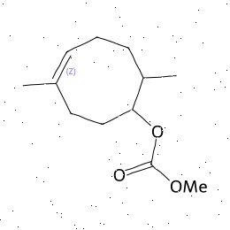 COC(=O)OC1CC/C(C)=C\CCC1C